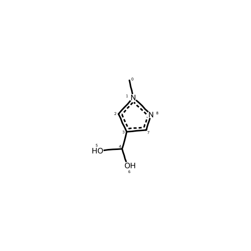 Cn1cc(C(O)O)cn1